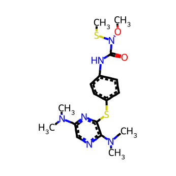 CON(SC)C(=O)Nc1ccc(Sc2nc(N(C)C)cnc2N(C)C)cc1